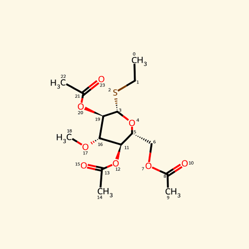 CCS[C@@H]1O[C@H](COC(C)=O)[C@@H](OC(C)=O)[C@H](OC)[C@H]1OC(C)=O